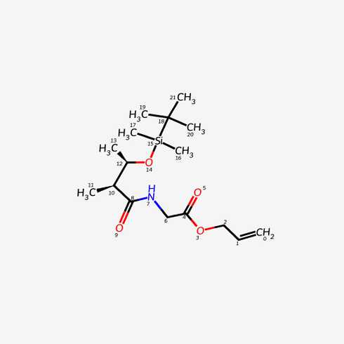 C=CCOC(=O)CNC(=O)[C@@H](C)[C@@H](C)O[Si](C)(C)C(C)(C)C